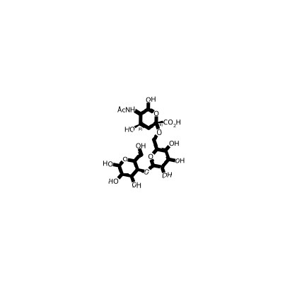 CC(=O)NC1C(O)O[C@@](OCC2OC(OC3C(CO)OC(O)C(O)C3O)C(O)C(O)C2O)(C(=O)O)C[C@H]1O